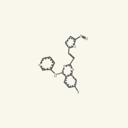 O=Nc1ccc(/C=C/c2nc(Nc3cccnc3)c3ccc(F)cc3n2)o1